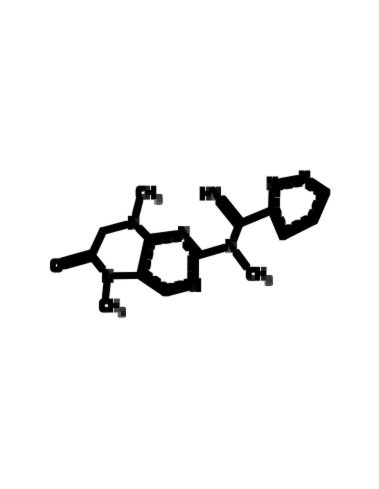 CN1CC(=O)N(C)c2cnc(N(C)C(=N)c3cccnn3)nc21